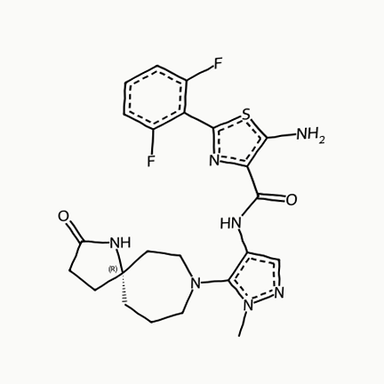 Cn1ncc(NC(=O)c2nc(-c3c(F)cccc3F)sc2N)c1N1CCC[C@@]2(CCC(=O)N2)CC1